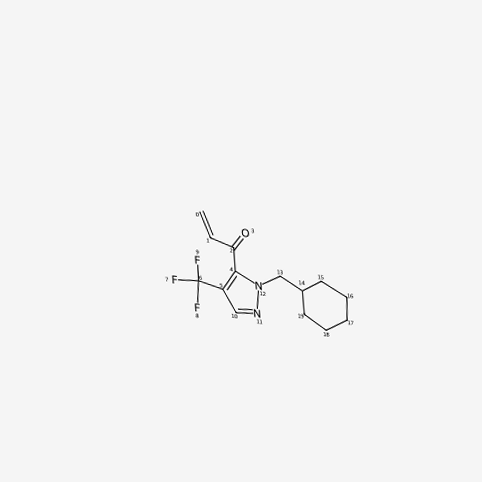 C=CC(=O)c1c(C(F)(F)F)cnn1CC1CCCCC1